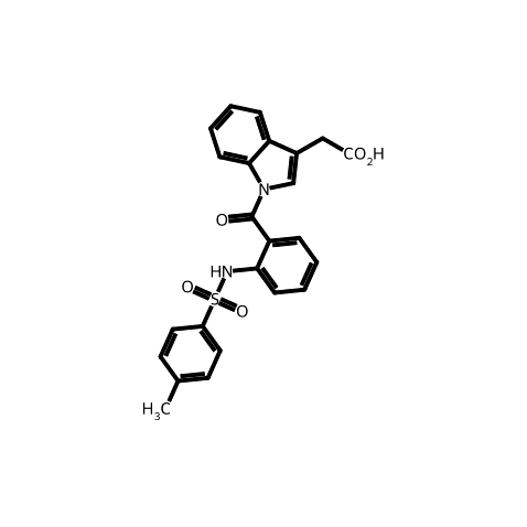 Cc1ccc(S(=O)(=O)Nc2ccccc2C(=O)n2cc(CC(=O)O)c3ccccc32)cc1